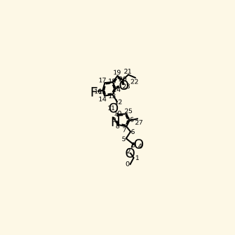 CCOC(=O)CCc1cnc(OCc2cc(F)cc3cc(CC)oc23)cc1C